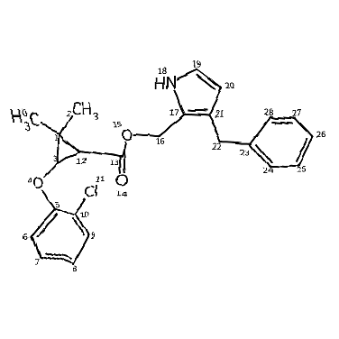 CC1(C)C(Oc2ccccc2Cl)C1C(=O)OCc1[nH]ccc1Cc1ccccc1